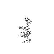 CCOC(=O)c1[nH]c2c(-c3c(COCc4nocc4CO)nn(C)c3C)c(Cl)ccc2c1CCCOc1cccc2ccccc12